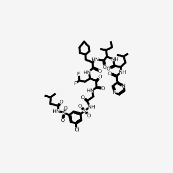 CCC(C)C(NC(=O)C(CC(C)C)NC(=O)c1cnccn1)C(=O)NC(CC1CCCCC1)C(=O)NC(CC(F)F)C(=O)C(=O)NCC(=O)NS(=O)(=O)c1cc(Cl)cc(S(=O)(=O)NC(=O)CC(C)C)c1